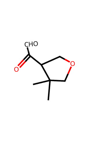 CC1(C)COCC1C(=O)C=O